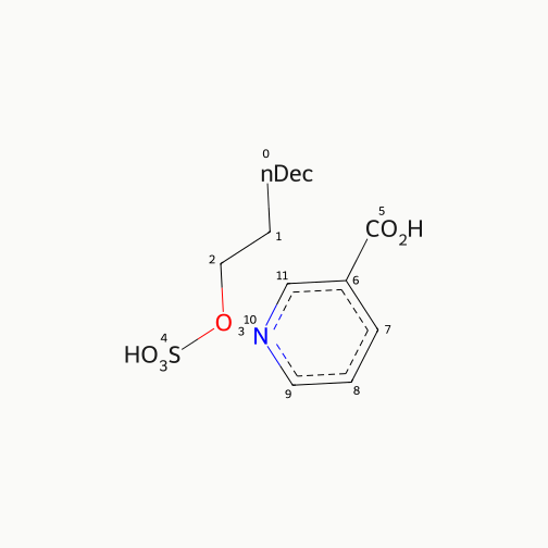 CCCCCCCCCCCCOS(=O)(=O)O.O=C(O)c1cccnc1